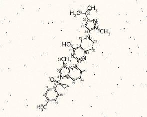 Cc1ccc(S(=O)(=O)n2cc(C)c3c(-c4nc(O)c5c(n4)CCN(c4cc(C(C)C)nn4C)C5)cccc32)cc1